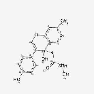 Cc1ccc2c(c1)OC=C(c1ccc(O)cc1)C2(O)CC(=O)NO